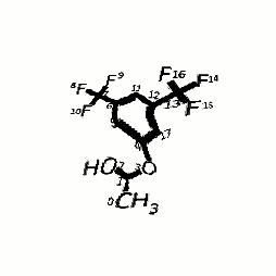 C[C@@H](O)Oc1cc(C(F)(F)F)cc(C(F)(F)F)c1